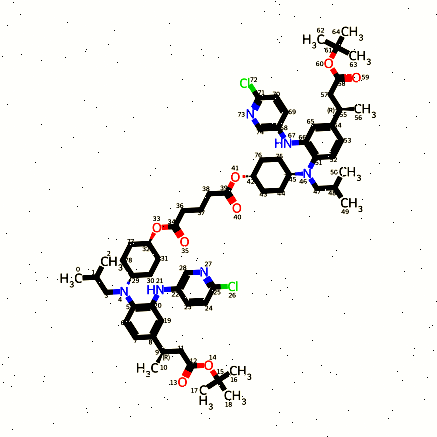 CC(C)CN(c1ccc([C@H](C)CC(=O)OC(C)(C)C)cc1Nc1ccc(Cl)nc1)[C@H]1CC[C@H](OC(=O)CCCC(=O)O[C@H]2CC[C@H](N(CC(C)C)c3ccc([C@H](C)CC(=O)OC(C)(C)C)cc3Nc3ccc(Cl)nc3)CC2)CC1